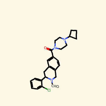 O=CN1Cc2ccc(C(=O)N3CCN(C4CCC4)CC3)cc2CC1c1ccccc1Cl